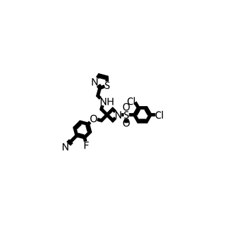 N#Cc1ccc(OCC2(CNCc3nccs3)CN(S(=O)(=O)c3ccc(Cl)cc3Cl)C2)cc1F